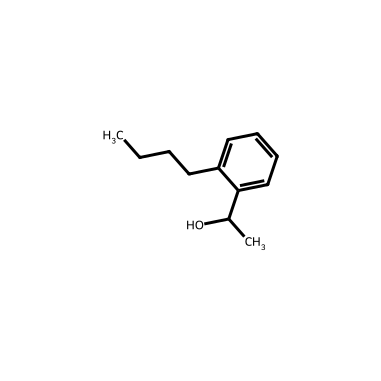 CCCCc1ccccc1C(C)O